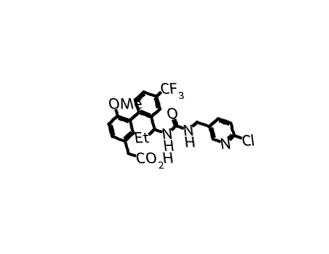 CCC(NC(=O)NCc1ccc(Cl)nc1)c1cc(C(F)(F)F)ccc1-c1cc(CC(=O)O)ccc1OC